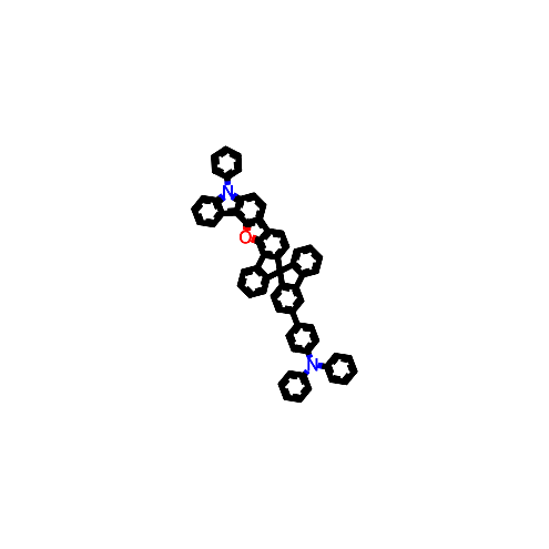 c1ccc(N(c2ccccc2)c2ccc(-c3ccc4c(c3)-c3ccccc3C43c4ccccc4-c4c3ccc3c4oc4c3ccc3c4c4ccccc4n3-c3ccccc3)cc2)cc1